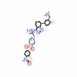 CC(CN1CCN(S(=O)(=O)c2ccc3c(c2)sc(=O)n3C)CC1)Nc1ncnc2c(-c3ccc(F)c(CN(C)C)c3)cccc12